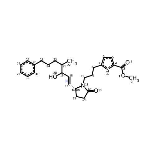 COC(=O)c1ccc(CCCN2C(=O)CC[C@@H]2/C=C/C(O)C(C)CCCc2ccccc2)s1